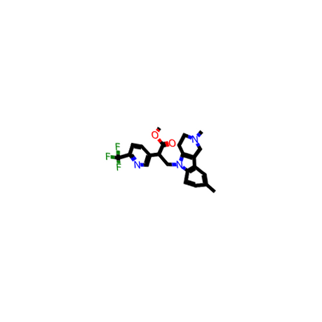 COC(=O)C(Cn1c2c(c3cc(C)ccc31)CN(C)CC2)c1ccc(C(F)(F)F)nc1